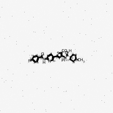 CC(C)N(c1cc(-c2ccc(NC(=O)c3ccc(F)cc3)nc2)sc1C(=O)O)C(=O)[C@H]1CC[C@H](C)CC1